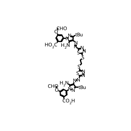 CC(C)(C)c1nn(-c2cc(OC=O)cc(C(=O)O)c2)c(N)c1N=Nc1nnc(SCCSc2nnc(N=Nc3c(C(C)(C)C)nn(-c4cc(OC=O)cc(C(=O)O)c4)c3N)s2)s1